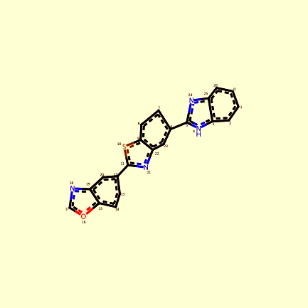 c1ccc2[nH]c(-c3ccc4sc(-c5ccc6ocnc6c5)nc4c3)nc2c1